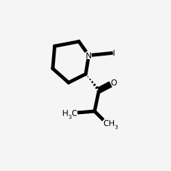 CC(C)C(=O)[C@@H]1CCCCN1I